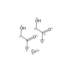 O=C([O-])CO.O=C([O-])CO.[Cu+2]